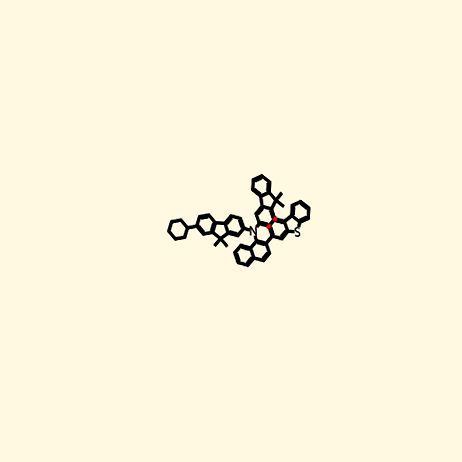 CC1(C)c2ccccc2-c2cc(N(c3ccc4c(c3)C(C)(C)c3cc(C5CCCCC5)ccc3-4)c3c(-c4ccc5c(c4)sc4ccccc45)ccc4ccccc34)ccc21